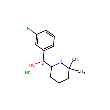 CC1(C)CCCC([C@H](O)c2cccc(F)c2)N1.Cl